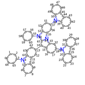 c1ccc(-n2c3ccccc3c3cc(-c4c5ccc(-n6c7ccccc7c7ccccc76)cc5n5c6cc(-n7c8ccccc8c8ccccc87)ccc6n(-c6ccccc6)c45)ccc32)cc1